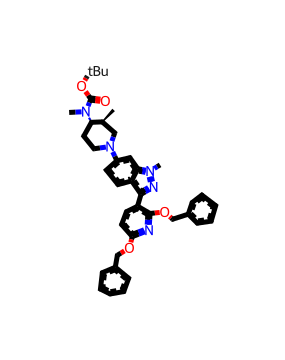 C[C@H]1CN(c2ccc3c(-c4ccc(OCc5ccccc5)nc4OCc4ccccc4)nn(C)c3c2)CC[C@@H]1N(C)C(=O)OC(C)(C)C